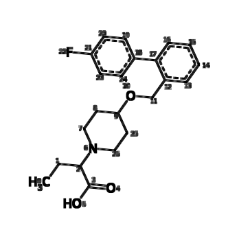 CCC(C(=O)O)N1CCC(OCc2ccccc2-c2ccc(F)cc2)CC1